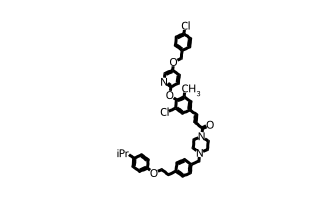 Cc1cc(C=CC(=O)N2CCN(Cc3ccc(CCOc4ccc(C(C)C)cc4)cc3)CC2)cc(Cl)c1Oc1ccc(OCc2ccc(Cl)cc2)cn1